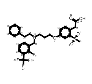 CS(=O)(=O)c1cc(OCCCN(CCc2ccccc2)Cc2cccc(C(F)(F)F)c2F)ccc1CC(=O)O